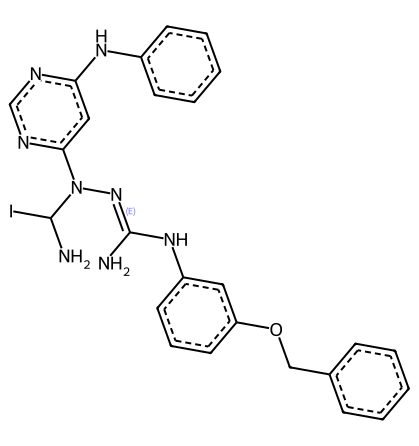 N/C(=N\N(c1cc(Nc2ccccc2)ncn1)C(N)I)Nc1cccc(OCc2ccccc2)c1